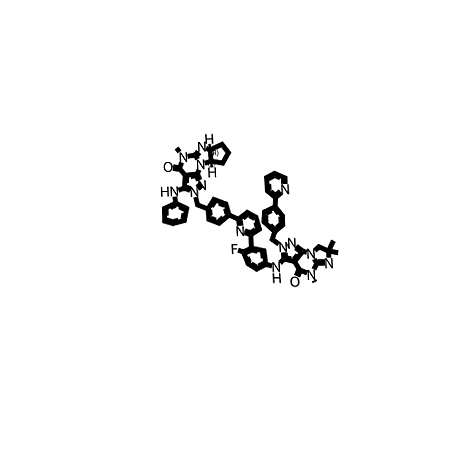 CN1C(=O)c2c(nn(Cc3ccc(-c4ccccn4)cc3)c2Nc2ccc(F)c(-c3cccc(-c4ccc(Cn5nc6c(c5Nc5ccccc5)C(=O)N(C)C5=N[C@@H]7CCC[C@@H]7N56)cc4)n3)c2)N2CC(C)(C)N=C12